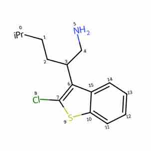 CC(C)CCC(CN)c1c(Cl)sc2ccccc12